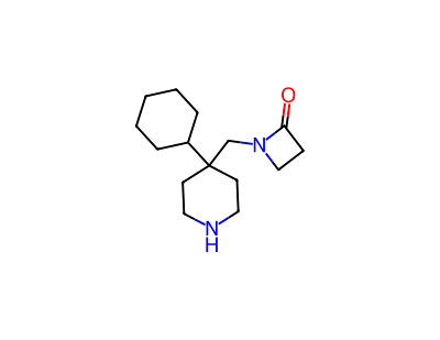 O=C1CCN1CC1(C2CCCCC2)CCNCC1